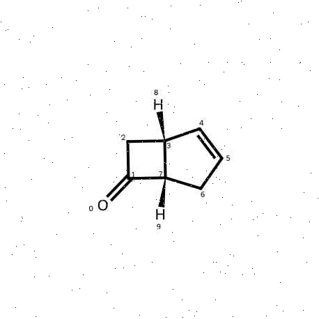 O=C1C[C@@H]2C=CC[C@H]12